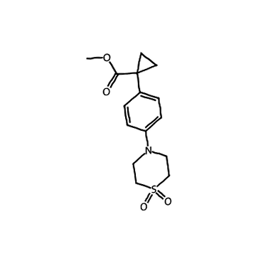 COC(=O)C1(c2ccc(N3CCS(=O)(=O)CC3)cc2)CC1